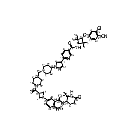 CC1(C)[C@H](NC(=O)c2ccc(-c3cnn(C4CCN(CC5CCN(C(=O)C6CN(c7ccc8nnn(C9CCC(=O)NC9=O)c(=O)c8c7)C6)CC5)CC4)c3)nc2)C(C)(C)[C@H]1Oc1ccc(C#N)c(Cl)c1